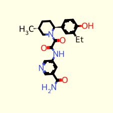 CCc1cc([C@@H]2CC[C@@H](C)CN2C(=O)C(=O)Nc2cncc(C(N)=O)c2)ccc1O